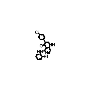 CCc1ccccc1Nc1nccc2[nH]cc(-c3ccc(Cl)cc3)c(=O)c12